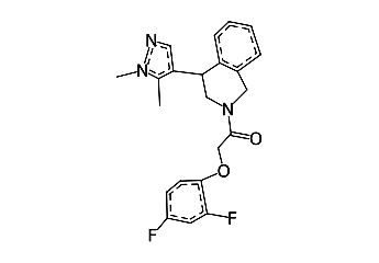 Cc1c(C2CN(C(=O)COc3ccc(F)cc3F)Cc3ccccc32)cnn1C